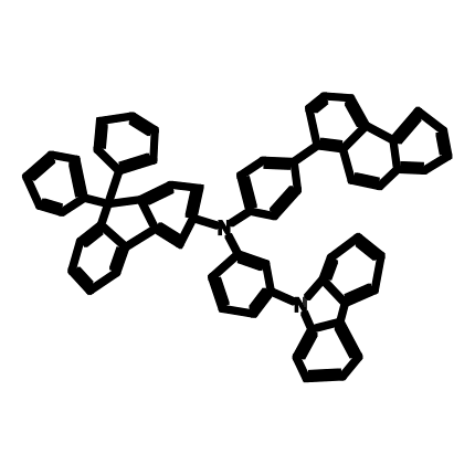 c1ccc(C2(c3ccccc3)c3ccccc3-c3cc(N(c4ccc(-c5cccc6c5ccc5ccccc56)cc4)c4cccc(-n5c6ccccc6c6ccccc65)c4)ccc32)cc1